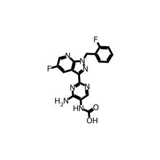 Nc1nc(-c2nn(Cc3ccccc3F)c3ncc(F)cc23)ncc1NC(=O)O